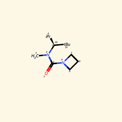 CC(C)[C@H](N(C)C(=O)N1CCC1)C(C)(C)C